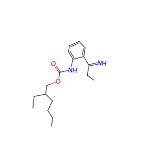 CCCCC(CC)COC(=O)Nc1ccccc1C(=N)CC